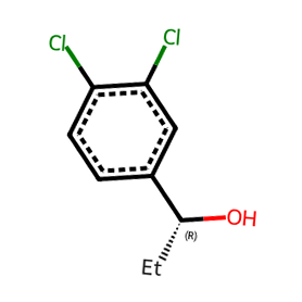 CC[C@@H](O)c1ccc(Cl)c(Cl)c1